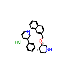 Cl.c1cncc(-c2cccc([C@H]3CCNC[C@@H]3OCc3ccc4ccccc4c3)c2)c1